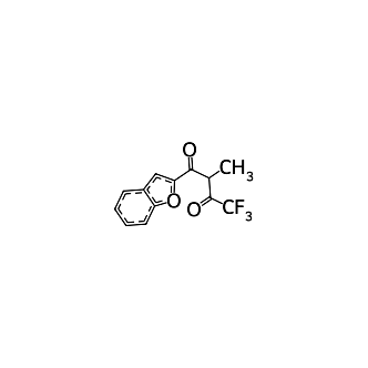 CC(C(=O)c1cc2ccccc2o1)C(=O)C(F)(F)F